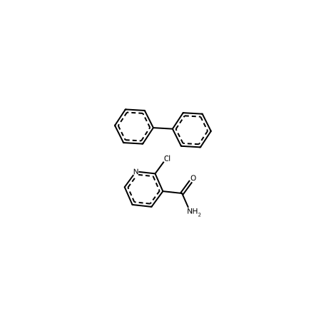 NC(=O)c1cccnc1Cl.c1ccc(-c2ccccc2)cc1